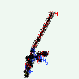 CC[C@H](C)[C@@H]([C@@H](CC(=O)N1CCC[C@H]1[C@H](OC)[C@@H](C)C(=O)N[C@@H](Cc1ccccc1)c1nccs1)OC)N(C)C(=O)[C@@H](NC(=O)[C@@H]1[C@H]2CC[C@H](C2)[N+]1(C)Cc1ccc(NC(=O)[C@H](CCCNC(N)=O)NC(=O)[C@@H](NC(=O)CCOCCN2C(=O)C=CC2=O)C(C)C)cc1COCc1cn(CCOCCOCCOCCOCCOCCOCCOCCOCCOCCOCCOCCOCCC(=O)O)nn1)C(C)C